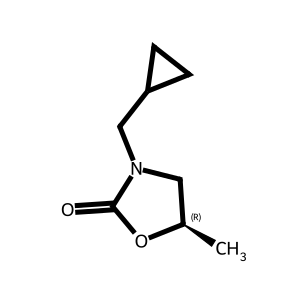 C[C@@H]1CN(CC2CC2)C(=O)O1